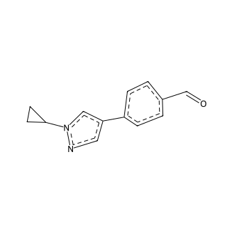 O=Cc1ccc(-c2cnn(C3CC3)c2)cc1